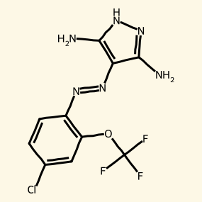 Nc1n[nH]c(N)c1N=Nc1ccc(Cl)cc1OC(F)(F)F